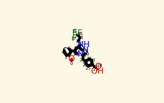 COc1ccccc1-c1cc(NCCC(F)(F)F)c2ncc(Cc3ccc(C(=O)O)cc3)n2c1